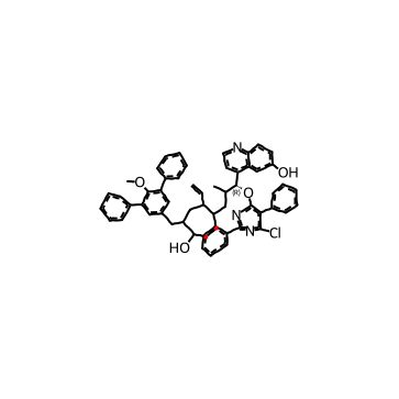 C=CC1CC(Cc2cc(-c3ccccc3)c(OC)c(-c3ccccc3)c2)C(O)CCC1CC(C)[C@@H](Oc1nc(-c2ccccc2)nc(Cl)c1-c1ccccc1)c1ccnc2ccc(O)cc12